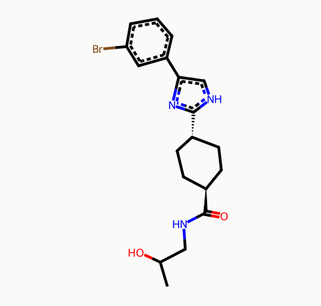 CC(O)CNC(=O)[C@H]1CC[C@H](c2nc(-c3cccc(Br)c3)c[nH]2)CC1